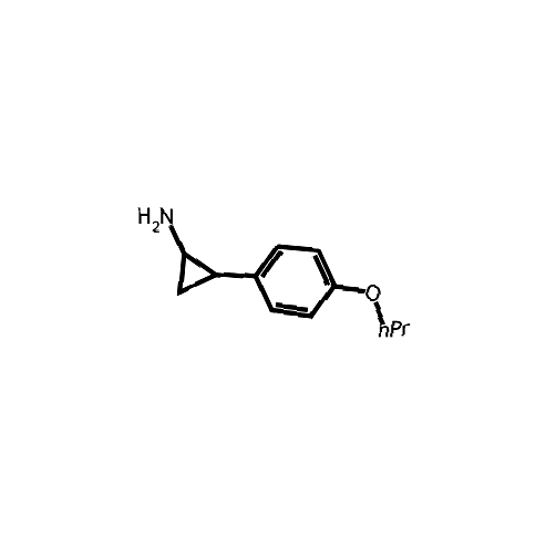 CCCOc1ccc(C2CC2N)cc1